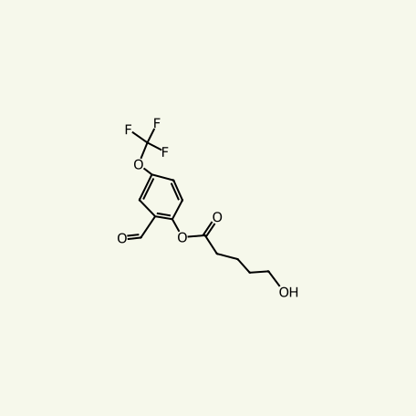 O=Cc1cc(OC(F)(F)F)ccc1OC(=O)CCCCO